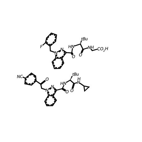 CC(C)(C)[C@H](NC(=O)c1nn(CC(=O)c2ccc(C#N)cc2)c2ccccc12)C(=O)NC1CC1.CC(C)(C)[C@H](NC(=O)c1nn(Cc2ccccc2F)c2ccccc12)C(=O)NCC(=O)O